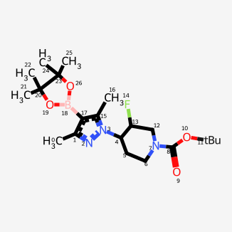 Cc1nn(C2CCN(C(=O)OC(C)(C)C)CC2F)c(C)c1B1OC(C)(C)C(C)(C)O1